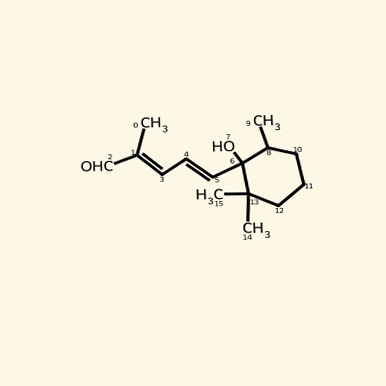 CC(C=O)=CC=CC1(O)C(C)CCCC1(C)C